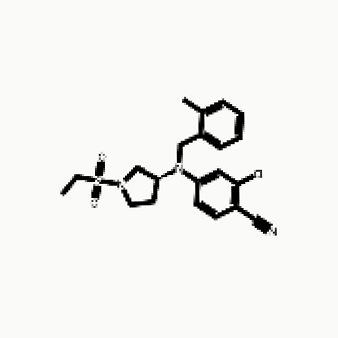 CCS(=O)(=O)N1CC[C@H](N(Cc2ccccc2C)c2ccc(C#N)c(Cl)c2)C1